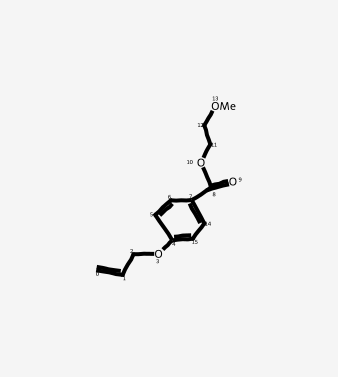 C=CCOc1ccc(C(=O)OCCOC)cc1